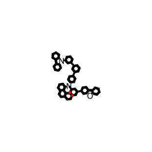 c1cc(-c2ccc(N(c3cccc(-c4ccc5c(c4)oc4ccccc45)c3)c3cccc4ccc5ccccc5c34)cc2)cc(-c2cccc(-n3c4ccccc4c4ccccc43)c2)c1